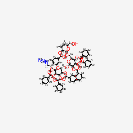 C[C@H]1[C@H](C)[C@@H](CO)O[C@@H](OC[C@H]2O[C@@H](OC[C@H]3O[C@@H](OCCN=[N+]=[N-])[C@H](OC(=O)c4ccccc4)[C@@H](OC(=O)c4ccccc4)[C@@H]3OC(=O)c3ccccc3)[C@H](OC(=O)c3ccccc3)[C@@H](OC(=O)c3ccccc3)[C@@H]2OC(=O)c2ccccc2)[C@@H]1OC(=O)c1ccccc1